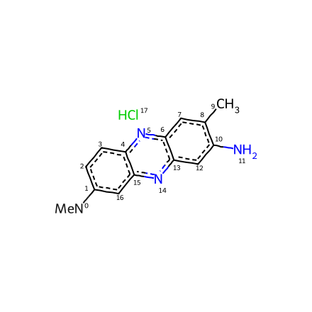 CNc1ccc2nc3cc(C)c(N)cc3nc2c1.Cl